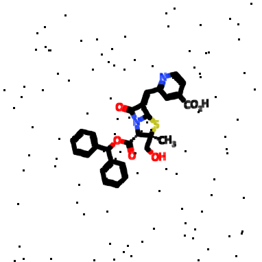 C[C@@]1(CO)SC2/C(=C\c3cc(C(=O)O)ccn3)C(=O)N2[C@H]1C(=O)OC(c1ccccc1)c1ccccc1